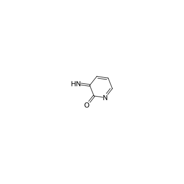 N=C1C=CC=NC1=O